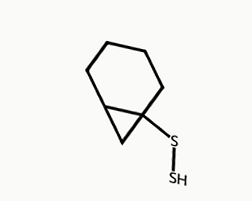 SSC12CCCCC1C2